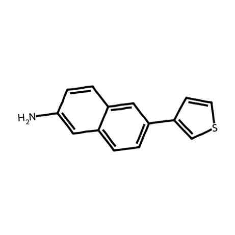 Nc1ccc2cc(-c3ccsc3)ccc2c1